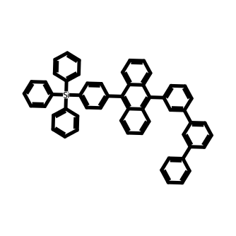 c1ccc(-c2cccc(-c3cccc(-c4c5ccccc5c(-c5ccc([Si](c6ccccc6)(c6ccccc6)c6ccccc6)cc5)c5ccccc45)c3)c2)cc1